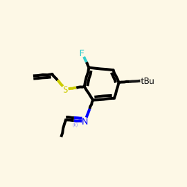 C=CSc1c(F)cc(C(C)(C)C)cc1/N=C/C